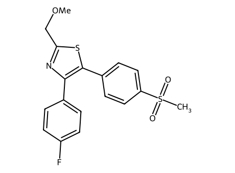 COCc1nc(-c2ccc(F)cc2)c(-c2ccc(S(C)(=O)=O)cc2)s1